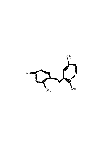 Cc1ccc(O)c(Cc2ccc(O)cc2O)c1